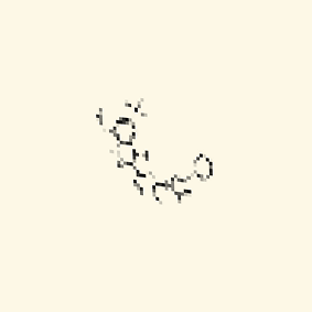 COc1c(CN(C)C)cc(C(C)(C)C)cc1NC(=O)c1ccc(C)c(-n2cc(-c3cccnc3)nn2)c1